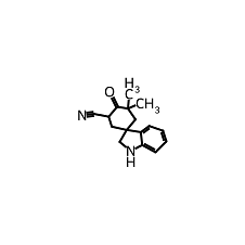 CC1(C)CC2(CNc3ccccc32)CC(C#N)C1=O